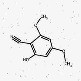 COc1cc(O)c(C#N)c(OC)c1